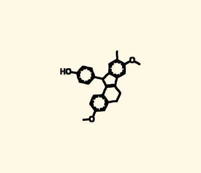 COc1ccc2c(c1)CCC1=C2C(c2ccc(O)cc2)c2cc(C)c(OC)cc21